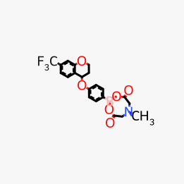 CN1CC(=O)OB(c2ccc(OC3CCOc4cc(C(F)(F)F)ccc43)cc2)OC(=O)C1